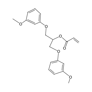 C=CC(=O)OC(COc1cccc(OC)c1)COc1cccc(OC)c1